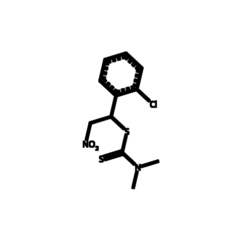 CN(C)C(=S)SC(C[N+](=O)[O-])c1ccccc1Cl